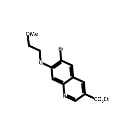 CCOC(=O)c1cnc2cc(OCCOC)c(Br)cc2c1